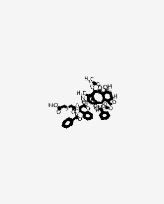 CC(=O)O[C@H]1C(=O)[C@@]2(C)C([C@H](OC(=O)c3ccccc3)[C@]3(O)C[C@H](OC(=O)[C@H](OC(=O)CSCC(=O)O)[C@@H](NC(=O)c4ccccc4)c4ccccc4)C(C)=C1C3(C)C)[C@]1(OC(C)=O)CO[C@@H]1C[C@@H]2O